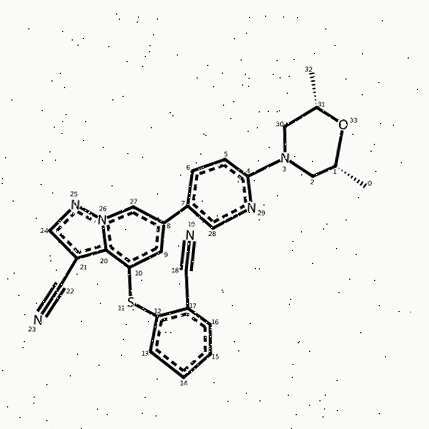 C[C@@H]1CN(c2ccc(-c3cc(Sc4ccccc4C#N)c4c(C#N)cnn4c3)cn2)C[C@H](C)O1